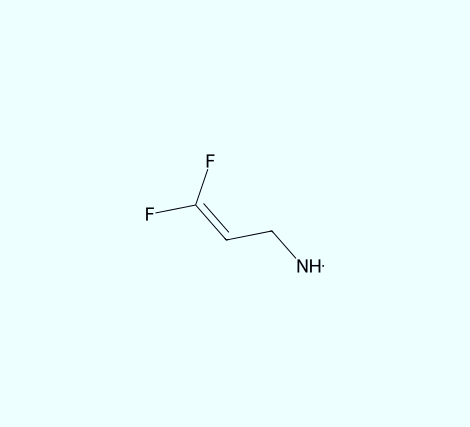 [NH]CC=C(F)F